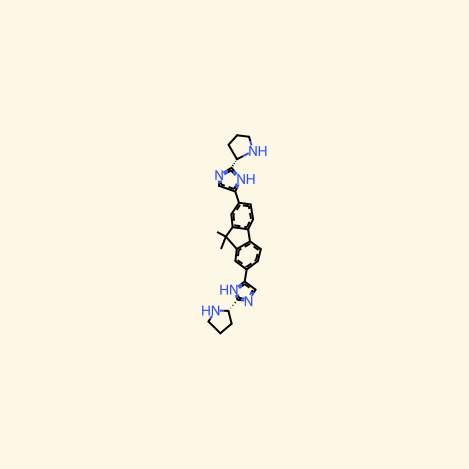 CC1(C)c2cc(-c3cnc([C@@H]4CCCN4)[nH]3)ccc2-c2ccc(-c3cnc([C@@H]4CCCN4)[nH]3)cc21